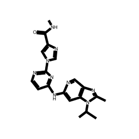 CNC(=O)c1cn(-c2nccc(Nc3cc4c(cn3)nc(C)n4C(C)C)n2)cn1